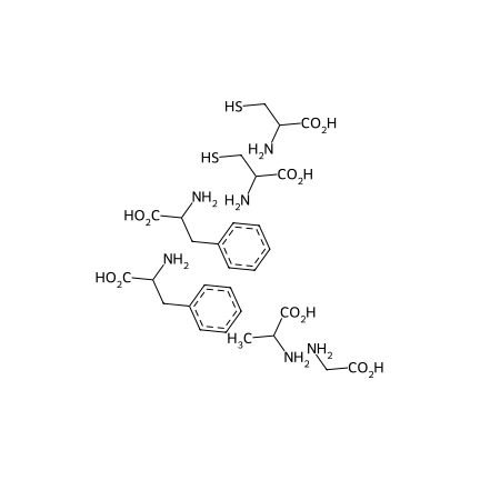 CC(N)C(=O)O.NC(CS)C(=O)O.NC(CS)C(=O)O.NC(Cc1ccccc1)C(=O)O.NC(Cc1ccccc1)C(=O)O.NCC(=O)O